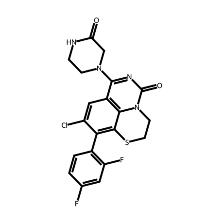 O=C1CN(c2nc(=O)n3c4c(c(-c5ccc(F)cc5F)c(Cl)cc24)SCC3)CCN1